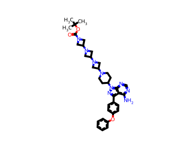 CC(C)(C)OC(=O)N1CC(N2CC(N3CC(N4CCC(n5nc(-c6ccc(Oc7ccccc7)cc6)c6c(N)ncnc65)CC4)C3)C2)C1